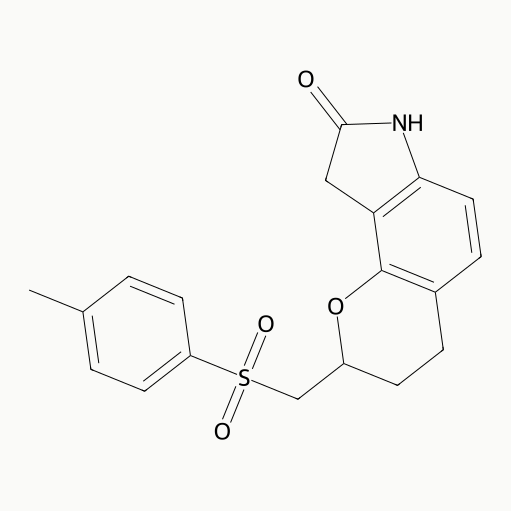 Cc1ccc(S(=O)(=O)CC2CCc3ccc4c(c3O2)CC(=O)N4)cc1